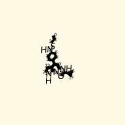 C=CCSNC1CC=C(c2cc(NC(=O)C3CC3)nc3[nH]ccc23)CC1